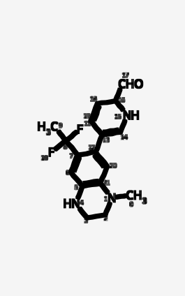 CN1CCNc2cc(C(C)(F)F)c(C3=CNC(C=O)C=C3)cc21